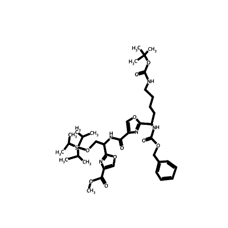 COC(=O)c1coc(C(CO[Si](C(C)C)(C(C)C)C(C)C)NC(=O)c2coc(C(CCCCNC(=O)OC(C)(C)C)NC(=O)OCc3ccccc3)n2)n1